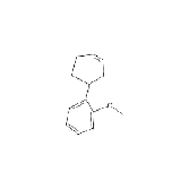 COc1ccccc1C1CC=CCC1